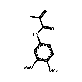 C=C(C)C(=O)Nc1ccc(OC)c(OC)c1